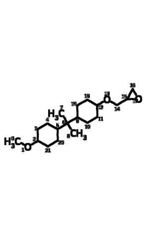 COC1CCC(C(C)(C)C2CCC(OCC3CO3)CC2)CC1